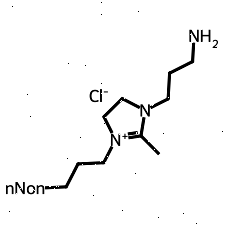 CCCCCCCCCCCC[N+]1=C(C)N(CCCN)CC1.[Cl-]